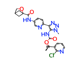 C[C@@H](OC(=O)Nc1c(-c2ccc(NC(=O)C34CC(CO3)C4)cn2)nnn1C)c1cccnc1Cl